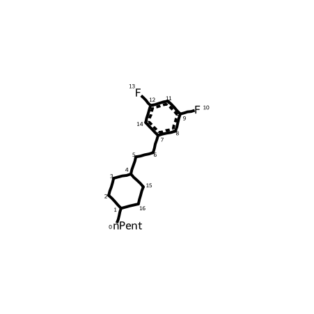 CCCCCC1CCC(CCc2cc(F)cc(F)c2)CC1